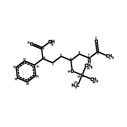 CC(=O)NCC(CCC(C(=O)O)c1ccccc1)O[Si](C)(C)C